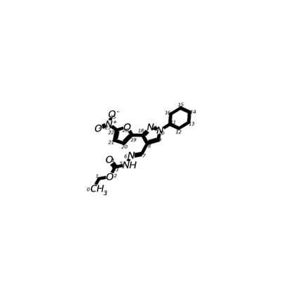 CCOC(=O)NN=Cc1cn(C2CCCCC2)nc1-c1ccc([N+](=O)[O-])o1